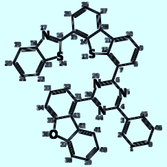 c1ccc(-c2nc(-c3cccc4c3sc3c(-c5nc6ccccc6s5)cccc34)nc(-c3cccc4oc5ccccc5c34)n2)cc1